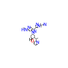 CCNc1cc2c(cn1)c(-c1cnn(C(C)(C)C#N)c1)nn2[C@@H]1CC[C@@H]2Oc3cccnc3C(C)C2C1